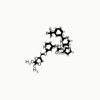 CC1(C)OC[C@H](COc2cc(NC(=O)N3c4nc(-c5cccc(C(F)(F)F)c5)ncc4N4CC[C@H]3C4)ccn2)O1